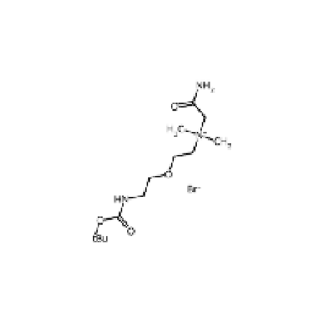 CC(C)(C)OC(=O)NCCOCC[N+](C)(C)CC(N)=O.[Br-]